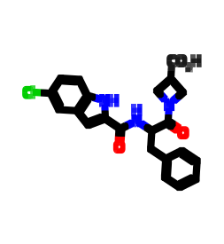 O=C(NC(Cc1ccccc1)C(=O)N1CC(C(=O)O)C1)c1cc2cc(Cl)ccc2[nH]1